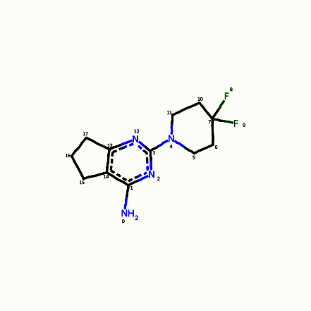 Nc1nc(N2CCC(F)(F)CC2)nc2c1CCC2